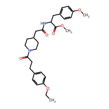 CCOc1ccc(CCC(=O)N2CCC(CC(=O)NC(Cc3ccc(OC)cc3)C(=O)OC)CC2)cc1